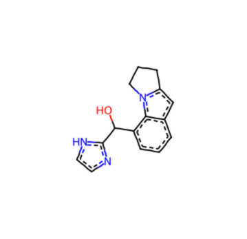 OC(c1ncc[nH]1)c1cccc2cc3n(c12)CCC3